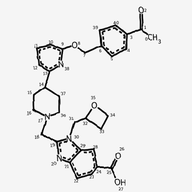 CC(=O)c1ccc(COc2cccc(C3CCN(Cc4nc5ccc(C(=O)O)cc5n4CC4CCO4)CC3)n2)cc1